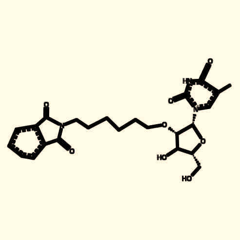 Cc1cn([C@@H]2O[C@H](CO)C(O)[C@@H]2OCCCCCCN2C(=O)c3ccccc3C2=O)c(=O)[nH]c1=O